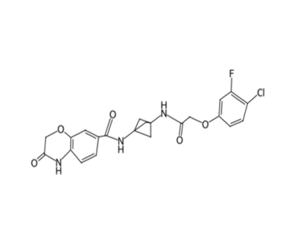 O=C1COc2cc(C(=O)NC34CC(NC(=O)COc5ccc(Cl)c(F)c5)(C3)C4)ccc2N1